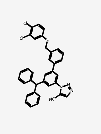 N#Cc1cnnn1-c1cc(-c2cccc(CSc3ccc(Cl)c(Cl)c3)c2)cc(C(c2ccccc2)c2ccccc2)c1